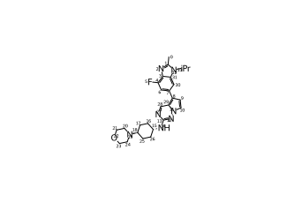 Cc1nc2c(F)cc(-c3ccn4nc(N[C@H]5CC[C@H](N6CCOCC6)CC5)ncc34)cc2n1C(C)C